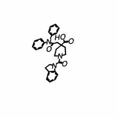 O=C(N1CCC(CC(=O)N(c2ccccc2)c2ccccc2)(C(=O)O)CC1)N1CCc2ccccc21